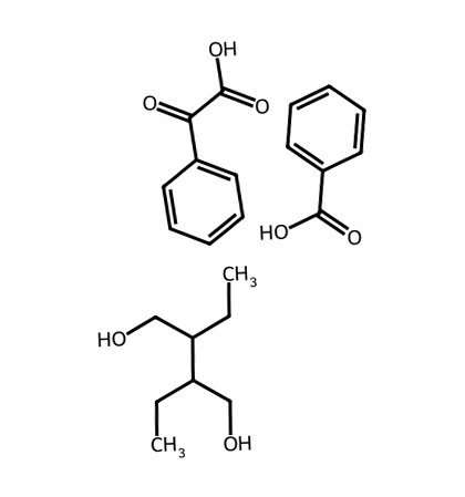 CCC(CO)C(CC)CO.O=C(O)C(=O)c1ccccc1.O=C(O)c1ccccc1